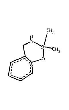 C[Si]1(C)NCc2ccccc2O1